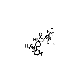 Cn1nc(C(F)(F)F)cc1N1C[C@]2(CC[C@](c3cccc(F)c3)(N(C)C)CC2)NC1=O